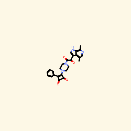 Cc1ncc(C)c2c(C(=O)C(=O)N3CCN(c4c(-c5ccccc5)c(=O)c4=O)CC3)c[nH]c12